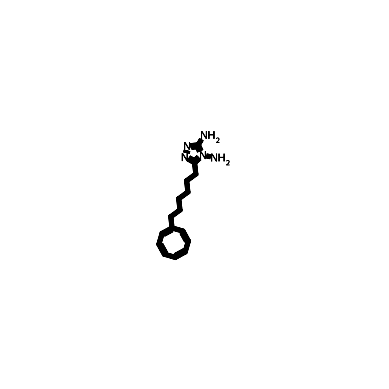 Nc1nnc(CCCCCCC2=C/C=C\C=C/C=C\2)n1N